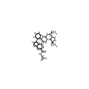 CN1CCC(N(C)CC2CCN(c3nc(NCC4CC4)nc4scc(-c5ccccc5)c34)CC2)C1